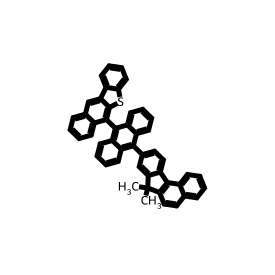 CC1(C)c2cc(-c3c4ccccc4c(-c4c5ccccc5cc5c4sc4ccccc45)c4ccccc34)ccc2-c2c1ccc1ccccc21